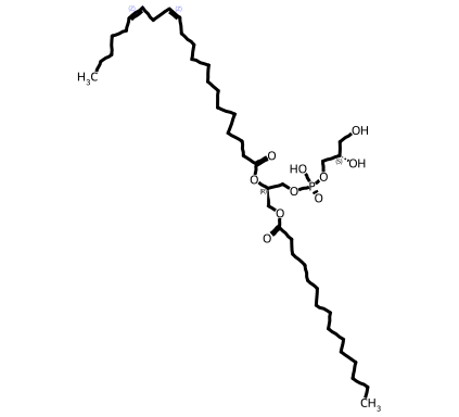 CCCCC/C=C\C/C=C\CCCCCCCCCCCC(=O)O[C@H](COC(=O)CCCCCCCCCCCCCC)COP(=O)(O)OC[C@@H](O)CO